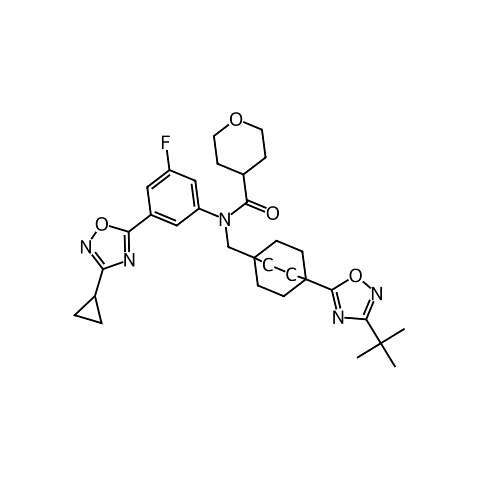 CC(C)(C)c1noc(C23CCC(CN(C(=O)C4CCOCC4)c4cc(F)cc(-c5nc(C6CC6)no5)c4)(CC2)CC3)n1